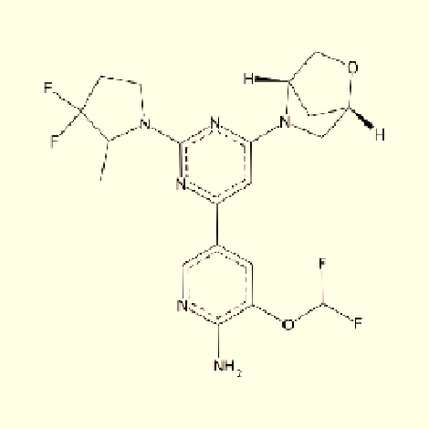 CC1N(c2nc(-c3cnc(N)c(OC(F)F)c3)cc(N3C[C@@H]4C[C@H]3CO4)n2)CCC1(F)F